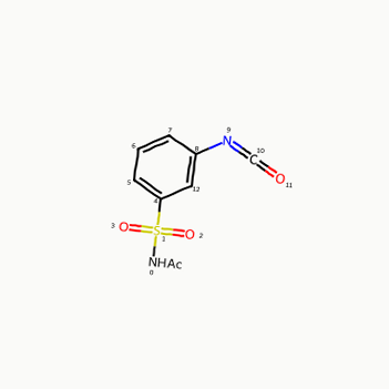 CC(=O)NS(=O)(=O)c1cccc(N=C=O)c1